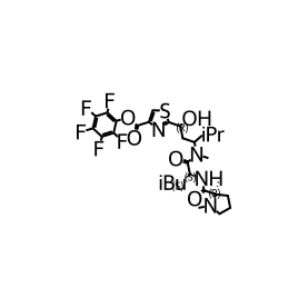 CC[C@H](C)[C@H](NC(=O)[C@@]1(C)CCCN1C)C(=O)N(C)C(C[C@@H](O)c1nc(C(=O)Oc2c(F)c(F)c(F)c(F)c2F)cs1)C(C)C